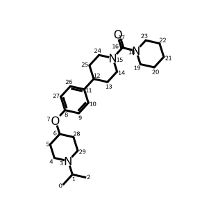 CC(C)N1CCC(Oc2ccc(C3CCN(C(=O)N4CCCCC4)CC3)cc2)CC1